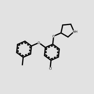 Cc1cccc(Oc2cc(Cl)ccc2OC2CCNC2)c1